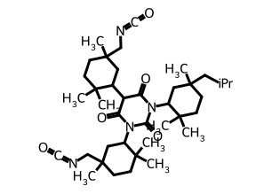 CC(C)CC1(C)CCC(C)(C)C(N2C(=O)C(C3CC(C)(CN=C=O)CCC3(C)C)C(=O)N(C3CC(C)(CN=C=O)CCC3(C)C)C2=O)C1